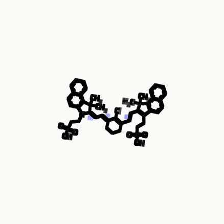 CC1(C)C(/C=C/C2=C(Cl)C(=C/C=C3/N(CCS(=O)(=O)O)c4ccc5ccccc5c4C3(C)C)/CCC2)=C(CCS(=O)(=O)O)c2ccc3ccccc3c21